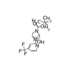 CC(C)(C)OC(=O)N1CC2C(O)C1CN2c1cc(C(F)(F)F)ccn1